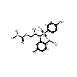 CCN(CC)C(=O)OC[C@@H](C)N(c1cc(Cl)ccc1CO)S(=O)(=O)c1ccc(Cl)cc1